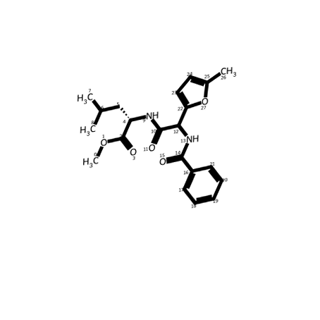 COC(=O)[C@H](CC(C)C)NC(=O)C(NC(=O)c1ccccc1)c1ccc(C)o1